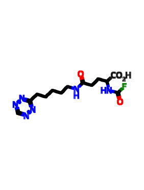 O=C(F)NC(CCC(=O)NCCCCCc1nncnn1)C(=O)O